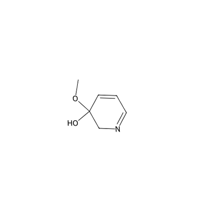 COC1(O)C=CC=NC1